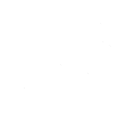 CCOC(=O)[C@@H](OC(C)(C)C)c1c(C)cc2nc(-c3ccnc(-c4ccc5c(cnn5C5CNC5)c4)c3)sc2c1-c1ccc(Cl)cc1